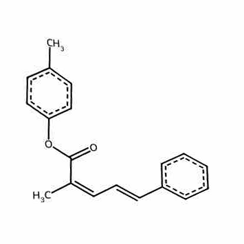 CC(=CC=Cc1ccccc1)C(=O)Oc1ccc(C)cc1